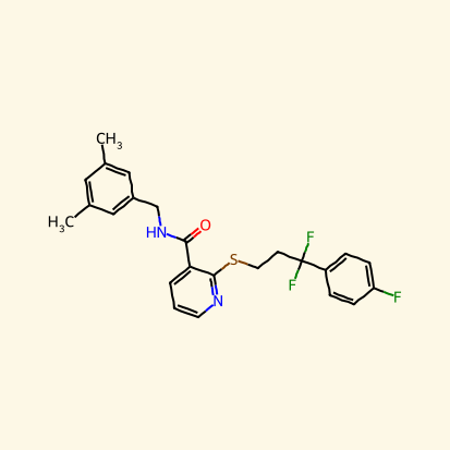 Cc1cc(C)cc(CNC(=O)c2cccnc2SCCC(F)(F)c2ccc(F)cc2)c1